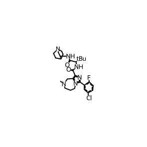 CN1CCCn2c(-c3cc(Cl)ccc3F)nc(C(=O)NC(C(=O)NC3CN4CCC3CC4)C(C)(C)C)c2C1